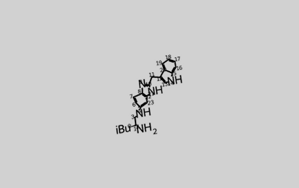 CC[C@H](C)[C@H](N)CNc1ccc2nc(Cc3c[nH]c4ccccc34)[nH]c2c1